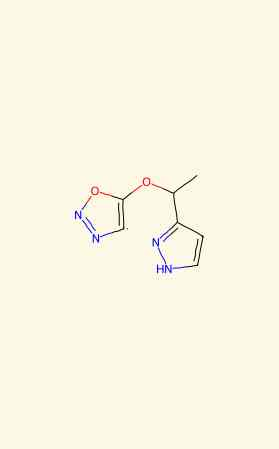 CC(Oc1[c]nno1)c1cc[nH]n1